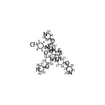 O=C(Nc1ccc(Cl)cc1)OCC(C(F)N1CCC[C@@H](Oc2ccncc2)C1)(C(F)N1CCC[C@@H](Oc2ccncc2)C1)C(F)N1CCC[C@@H](Oc2ccncc2)C1